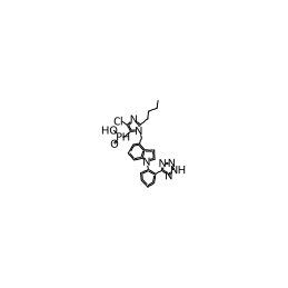 CCCCc1nc(Cl)c(C[PH](=O)O)n1Cc1cccc2c1ccn2-c1ccccc1-c1nn[nH]n1